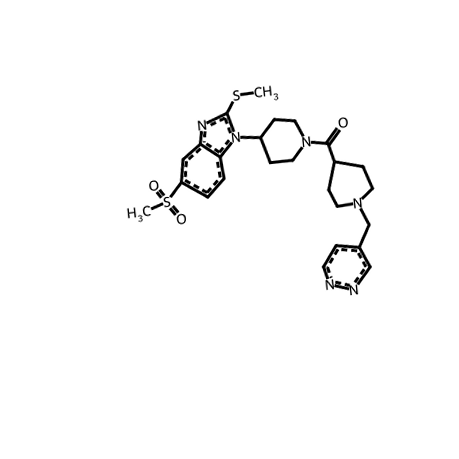 CSc1nc2cc(S(C)(=O)=O)ccc2n1C1CCN(C(=O)C2CCN(Cc3ccnnc3)CC2)CC1